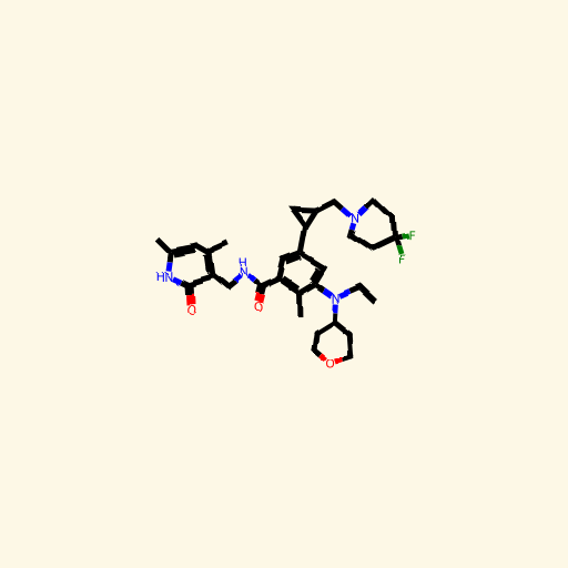 CCN(c1cc(C2CC2CN2CCC(F)(F)CC2)cc(C(=O)NCc2c(C)cc(C)[nH]c2=O)c1C)C1CCOCC1